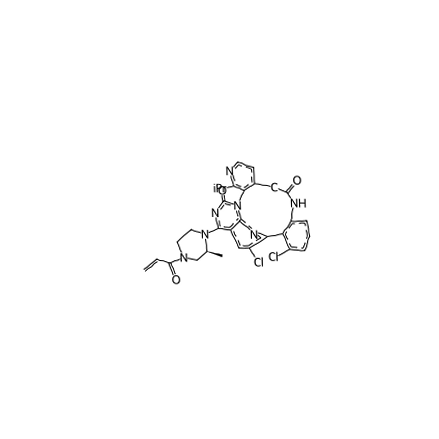 C=CC(=O)N1CCN(c2nc(=O)n3c4nc(c(Cl)cc24)-c2c(Cl)cccc2NC(=O)Cc2ccnc(C(C)C)c2-3)[C@@H](C)C1